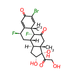 C[C@]12C=C(Br)C(=O)C=C1[C@H](F)C[C@H]1[C@@H]3C[C@@H](O)[C@](O)(C(=O)CO)[C@@]3(C)CC(=O)[C@@]12F